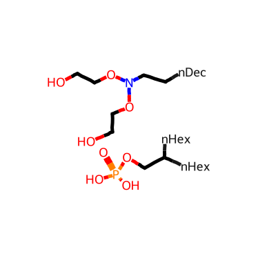 CCCCCCC(CCCCCC)COP(=O)(O)O.CCCCCCCCCCCCN(OCCO)OCCO